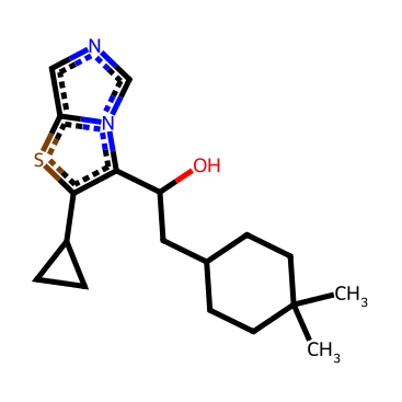 CC1(C)CCC(CC(O)c2c(C3CC3)sc3cncn23)CC1